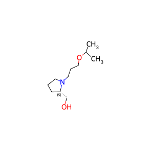 CC(C)OCCCN1CCC[C@H]1CO